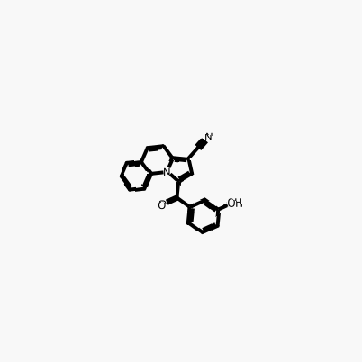 N#Cc1cc(C(=O)c2cccc(O)c2)n2c1ccc1ccccc12